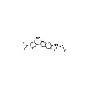 CCC(=O)c1cc(C)c(-c2cc3cnc(NC(=O)[C@H]4C[C@H]4F)cc3cc2C#N)cn1